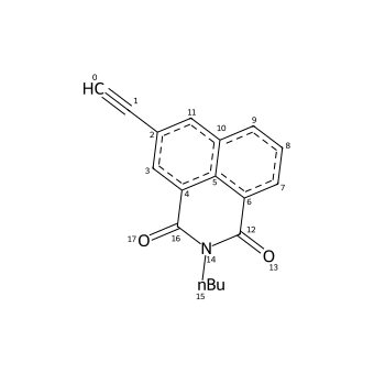 C#Cc1cc2c3c(cccc3c1)C(=O)N(CCCC)C2=O